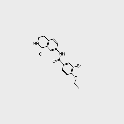 CCOc1ccc(C(=O)Nc2ccc3c(c2)[C@H](Cl)NCC3)cc1Br